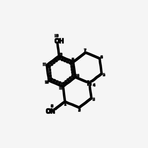 O=NC1CCN2CCCc3c(O)ccc1c32